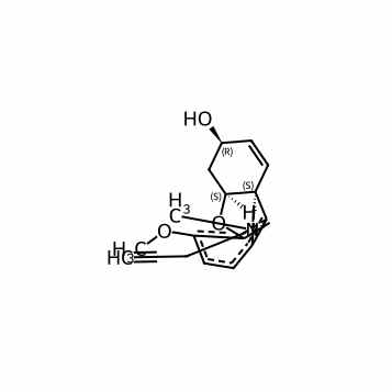 C#CC[N+]1(C)CC[C@@]23C=C[C@H](O)C[C@@H]2Oc2c(OC)ccc(c23)C1